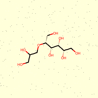 OCC(O)CO[C@H](CO)[C@@H](O)[C@H](O)[C@@H](O)CO